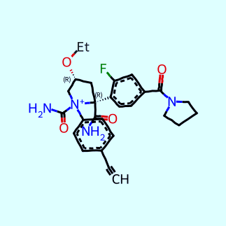 C#Cc1ccc([N+]2(C(N)=O)C[C@H](OCC)C[C@]2(C(N)=O)c2ccc(C(=O)N3CCCC3)cc2F)cc1